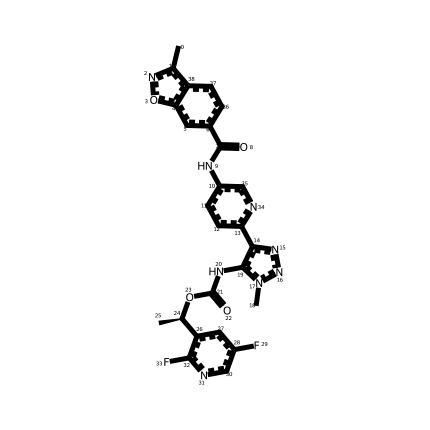 Cc1noc2cc(C(=O)Nc3ccc(-c4nnn(C)c4NC(=O)O[C@H](C)c4cc(F)cnc4F)nc3)ccc12